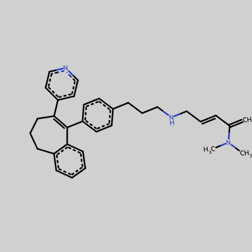 C=C(/C=C/CNCCCc1ccc(C2=C(c3ccncc3)CCCc3ccccc32)cc1)N(C)C